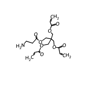 C=CC(=O)OCC(COC(=O)C=C)(COC(=O)C=C)COC(=O)CCN